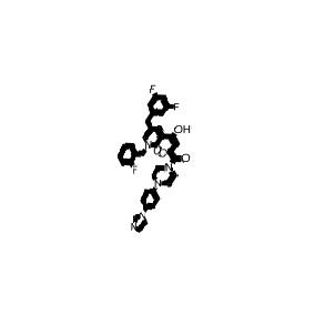 O=C(/C=C(/O)c1cc(Cc2cc(F)cc(F)c2)cn(Cc2ccccc2F)c1=O)C(=O)N1CCN(c2ccc(-n3ccnc3)cc2)CC1